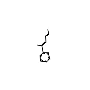 C/C(=C\C=C\C=O)c1ccccc1